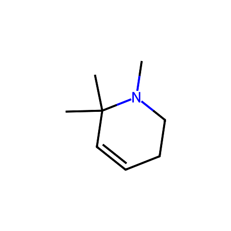 CN1CCC=CC1(C)C